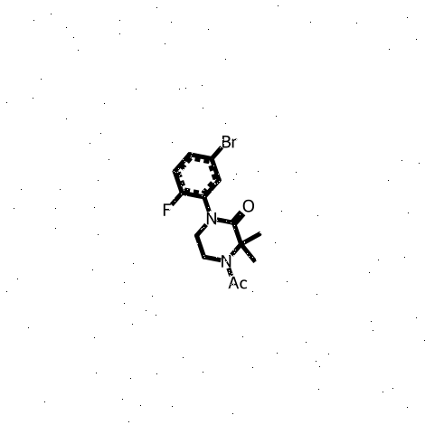 CC(=O)N1CCN(c2cc(Br)ccc2F)C(=O)C1(C)C